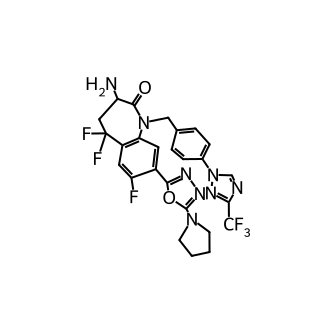 NC1CC(F)(F)c2cc(F)c(-c3nnc(N4CCCC4)o3)cc2N(Cc2ccc(-n3cnc(C(F)(F)F)n3)cc2)C1=O